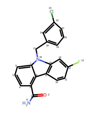 NC(=O)c1cccc2c1c1[c]cc(F)cc1n2Cc1cccc(Cl)c1